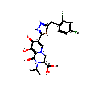 CC(C)N1C(=O)c2c(O)c(=O)c(-c3nnc(Cc4ccc(F)cc4F)s3)cn2CC1C(=O)O